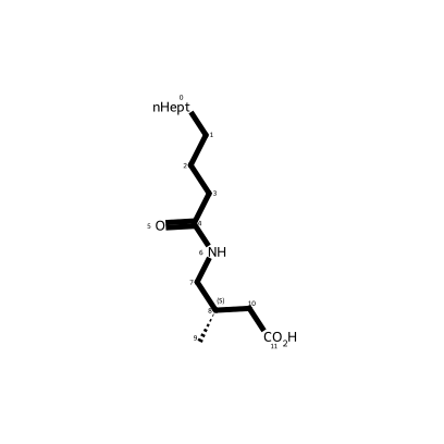 CCCCCCCCCCC(=O)NC[C@@H](C)CC(=O)O